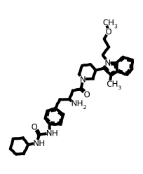 COCCCn1c(C2CCCN(C(=O)CC(N)Cc3ccc(NC(=O)NC4CCCCC4)cc3)C2)c(C)c2ccccc21